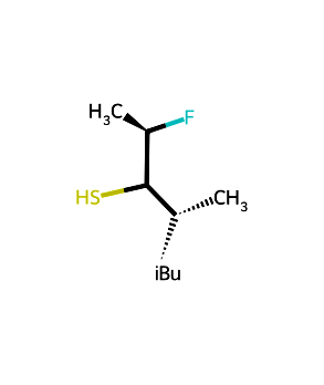 CC[C@@H](C)[C@@H](C)C(S)[C@@H](C)F